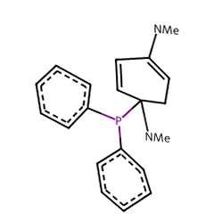 CNC1=CCC(NC)(P(c2ccccc2)c2ccccc2)C=C1